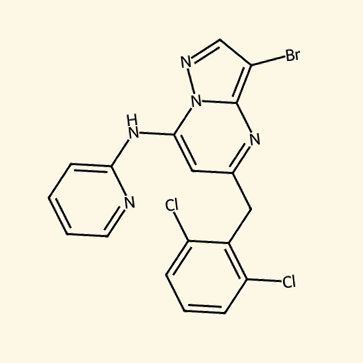 Clc1cccc(Cl)c1Cc1cc(Nc2ccccn2)n2ncc(Br)c2n1